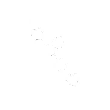 COc1ccc(Nc2c(C(=O)N3CCC(c4ccc(F)cc4)CC3)cnc(Cl)c2Cl)c(F)c1